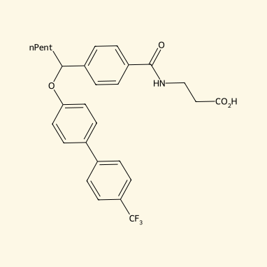 CCCCCC(Oc1ccc(-c2ccc(C(F)(F)F)cc2)cc1)c1ccc(C(=O)NCCC(=O)O)cc1